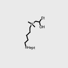 CCCCCCCCCCCC[N+](C)(C)CC(O)CC